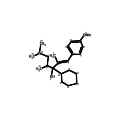 COc1ccc(/C=C(\C)C(O)(C(C)CN(C)C)C2CCCCC2)cc1